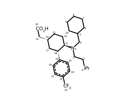 CC(C)CCN(CC1CCCCC1)[C@@H]1CC[C@@H](CC(=O)O)C[C@H]1c1ccc(C(F)(F)F)cc1